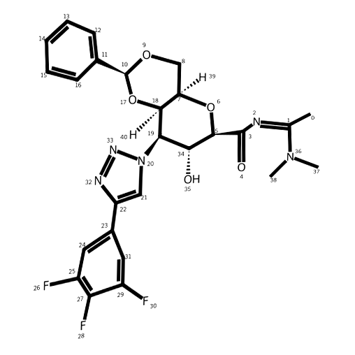 CC(=NC(=O)[C@@H]1O[C@@H]2CO[C@H](c3ccccc3)O[C@@H]2[C@H](n2cc(-c3cc(F)c(F)c(F)c3)nn2)[C@H]1O)N(C)C